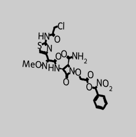 CON=C(C(=O)N[C@@H]1C(=O)N(OCC(=O)OC(c2ccccc2)[N+](=O)[O-])[C@@H]1C(N)=O)c1csc(NC(=O)CCl)n1